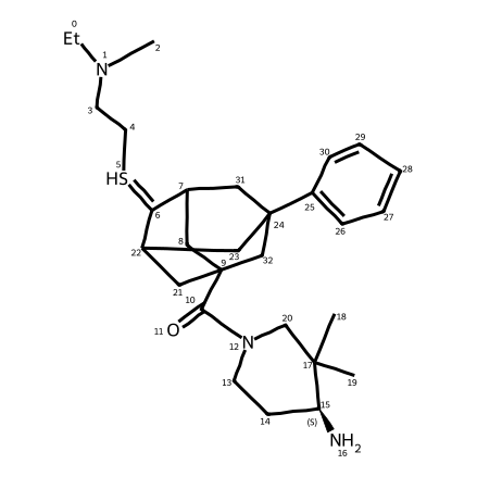 CCN(C)CC[SH]=C1C2CC3(C(=O)N4CC[C@H](N)C(C)(C)C4)CC1CC(c1ccccc1)(C2)C3